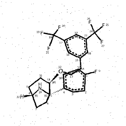 Fc1ccc([C@@]23CC[C@H](CC[C@H]2OCCc2cc(C(F)(F)F)cc(C(F)(F)F)c2)N3)cc1